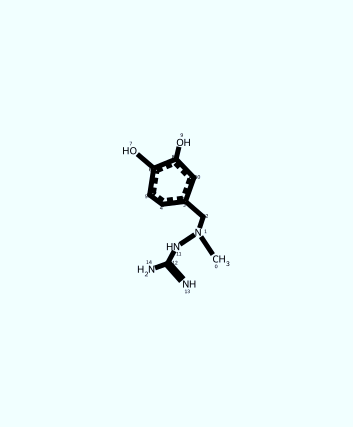 CN(Cc1ccc(O)c(O)c1)NC(=N)N